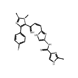 Cc1nc(C(=O)Nc2c[nH]c(/C=C\C(=N)c3c(-c4ccc(F)cc4)nc(C)n3C)n2)c[nH]1